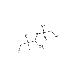 CCCCOP(=O)(O)OC(C)C(F)(F)CC(F)(F)F